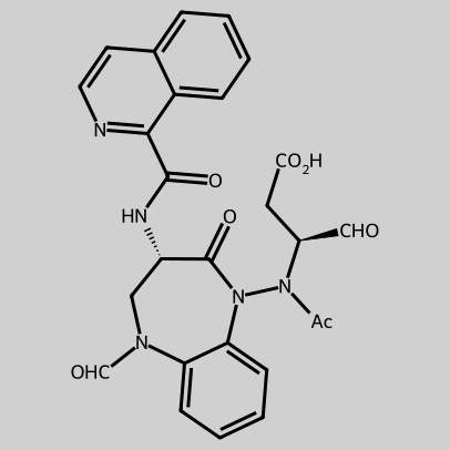 CC(=O)N([C@H](C=O)CC(=O)O)N1C(=O)[C@@H](NC(=O)c2nccc3ccccc23)CN(C=O)c2ccccc21